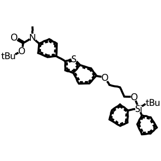 CN(C(=O)OC(C)(C)C)c1ccc(-c2cc3ccc(OCCCO[Si](c4ccccc4)(c4ccccc4)C(C)(C)C)cc3s2)cc1